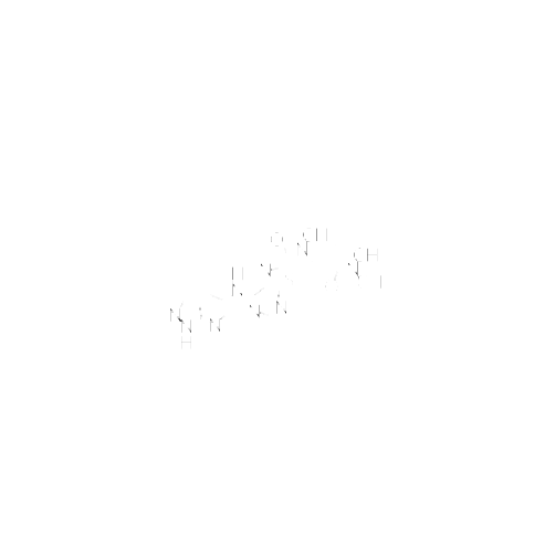 CN(C)C(=O)CCN(C)C(=O)c1nc2c(Nc3cnc4[nH]ncc4c3)ncnc2s1